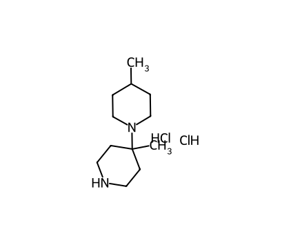 CC1CCN(C2(C)CCNCC2)CC1.Cl.Cl